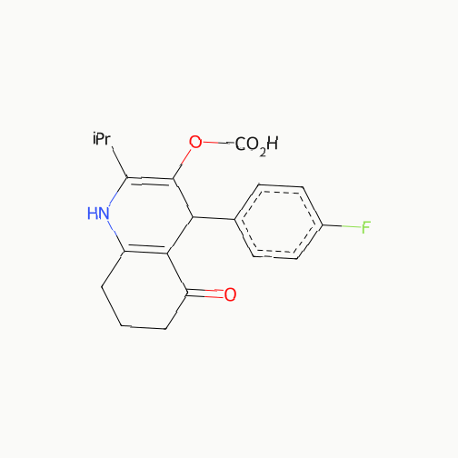 CC(C)C1=C(OC(=O)O)C(c2ccc(F)cc2)C2=C(CCCC2=O)N1